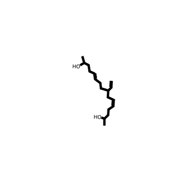 C=CC(C/C=C\CCC(C)O)CC/C=C/CCC(C)O